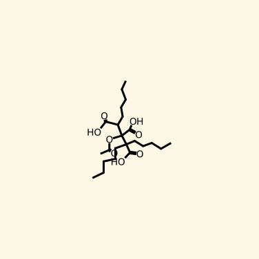 CCCCCC(C(=O)O)C(OC(C)=O)(C(=O)O)C(CCCCC)(CCCCC)C(=O)O